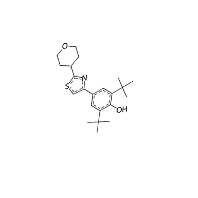 CC(C)(C)c1cc(-c2csc([C]3CCOCC3)n2)cc(C(C)(C)C)c1O